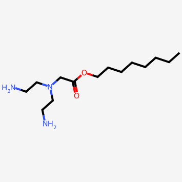 CCCCCCCCOC(=O)CN(CCN)CCN